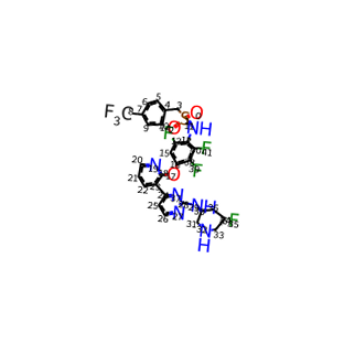 O=S(=O)(Cc1ccc(C(F)(F)F)cc1)Nc1c(F)cc(Oc2ncccc2-c2ccnc(NC3CNC[C@@H](F)C3)n2)c(F)c1F